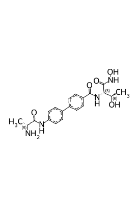 C[C@@H](N)C(=O)Nc1ccc(-c2ccc(C(=O)N[C@H](C(=O)NO)[C@@H](C)O)cc2)cc1